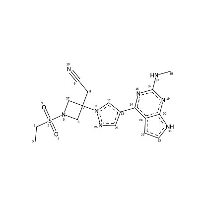 CCS(=O)(=O)N1CC(CC#N)(n2cc(-c3nc(NC)nc4[nH]ccc34)cn2)C1